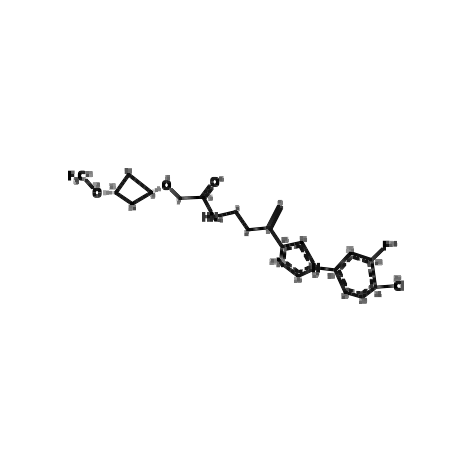 C=C(CCNC(=O)CO[C@H]1C[C@@H](OC(F)(F)F)C1)c1cn(-c2ccc(Cl)c(F)c2)cn1